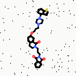 O=C1c2cc(OCCCN3CCN(c4cccc5sccc45)CC3)ccc2CCN1CCCN1C(=O)c2ccccc2C1=O